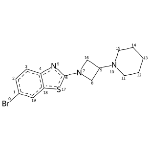 Brc1ccc2nc(N3CC(N4CCCCC4)C3)sc2c1